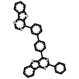 c1ccc(-c2nc(-c3ccc(-c4cccc(-c5ncnc6c5sc5ccccc56)c4)cc3)c3sc4ccccc4c3n2)cc1